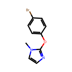 Cn1ccnc1Oc1ccc(Br)cc1